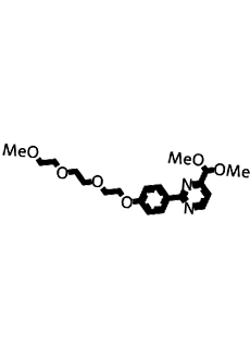 COCCOCCOCCOc1ccc(-c2nccc(C(OC)OC)n2)cc1